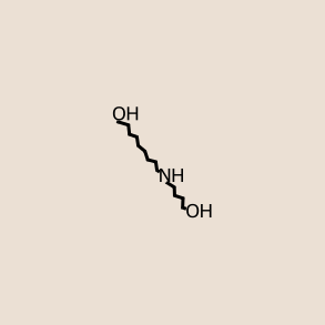 OCCCCCCCCCNCCCCCO